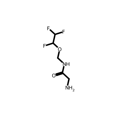 NCC(=O)NCOC(F)C(F)F